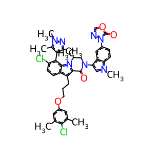 Cc1cc(OCCCc2c3n(c4c(-c5c(C)nn(C)c5C)c(Cl)ccc24)[C@H](C)CN(c2cn(C)c4ccc(-n5ncoc5=O)cc24)C3=O)cc(C)c1Cl